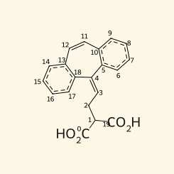 O=C(O)C(CC=C1c2ccccc2C=Cc2ccccc21)C(=O)O